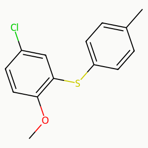 COc1ccc(Cl)cc1Sc1ccc(C)cc1